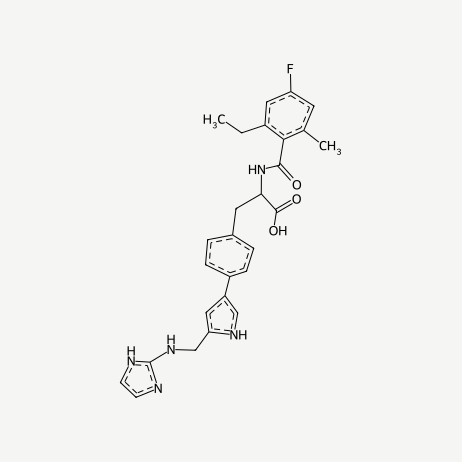 CCc1cc(F)cc(C)c1C(=O)NC(Cc1ccc(-c2c[nH]c(CNc3ncc[nH]3)c2)cc1)C(=O)O